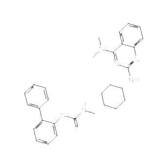 CN(C)c1nc(N[C@H]2CC[C@@H](CNC(=O)Nc3ccccc3-c3ccccc3)CC2)nc2ccccc12